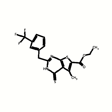 CCOC(=O)c1sc2nc(Cc3cccc(C(F)(F)F)c3)[nH]c(=S)c2c1C